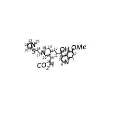 COc1ccc2nccc([C@@H](O)CCC3CCN(CCSc4cccn4C)CC3CCC(=O)O)c2c1